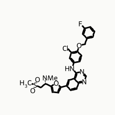 CN[C@@H](CS(C)(=O)=O)c1ccc(-c2ccc3ncnc(Nc4ccc(OCc5cccc(F)c5)c(Cl)c4)c3c2)o1